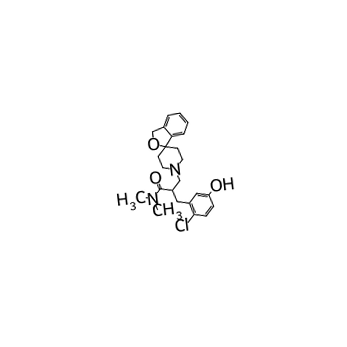 CN(C)C(=O)C(Cc1cc(O)ccc1Cl)CN1CCC2(CC1)OCc1ccccc12